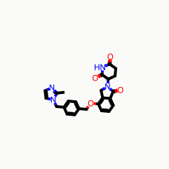 Cc1nccn1Cc1ccc(COc2cccc3c2CN(C2CCC(=O)NC2=O)C3=O)cc1